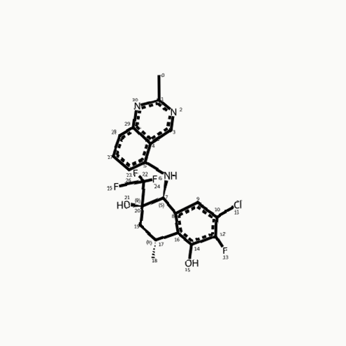 Cc1ncc2c(N[C@H]3c4cc(Cl)c(F)c(O)c4[C@H](C)C[C@]3(O)C(F)(F)F)cccc2n1